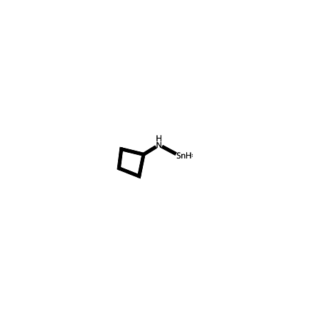 [SnH][NH]C1CCC1